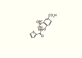 O=C(O)c1ccc(ONC(=O)c2cccs2)c([NH+]([O-])O)c1